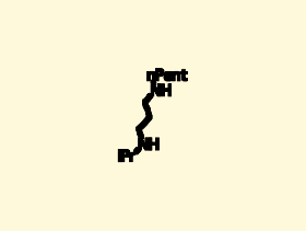 CCCCCNCCCNC(C)C